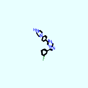 Fc1cccc(-c2cnc3cnc(-c4ccc(N5CCNCC5)cc4)cn23)c1